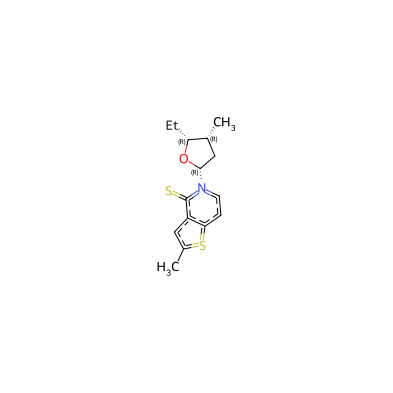 CC[C@H]1O[C@@H](n2ccc3sc(C)cc3c2=S)C[C@H]1C